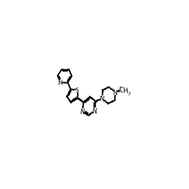 CN1CCN(c2cc(-c3ccc(-c4ccccn4)s3)ncn2)CC1